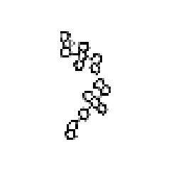 c1ccc2cc(-c3ccc(-c4c5ccccc5c(-c5cccc6cc(-c7ccc8c(-c9c%10ccccc%10c(-c%10cccc%11c%10oc%10ccccc%10%11)c%10ccccc9%10)cccc8c7)ccc56)c5ccccc45)cc3)ccc2c1